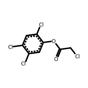 O=C(CCl)Oc1cc(Cl)c(Cl)cc1Cl